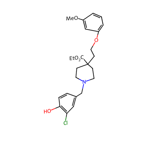 CCOC(=O)C1(CCOc2cccc(OC)c2)CCN(Cc2ccc(O)c(Cl)c2)CC1